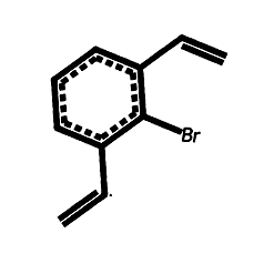 C=[C]c1cccc(C=C)c1Br